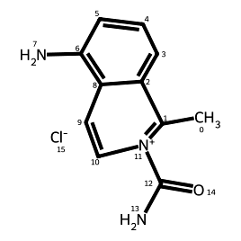 Cc1c2cccc(N)c2cc[n+]1C(N)=O.[Cl-]